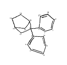 c1ccc(C2(c3ccccc3)CC3CCC2C3)cc1